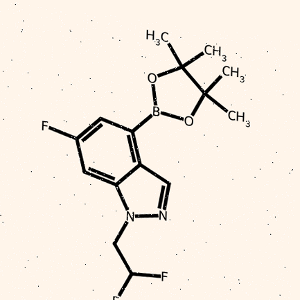 CC1(C)OB(c2cc(F)cc3c2cnn3CC(F)F)OC1(C)C